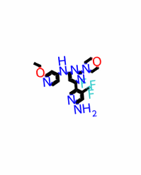 CCOc1cc(Nc2cc(-c3cnc(N)cc3C(F)(F)F)nc(N3CCOCC3)n2)ccn1